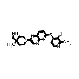 CC1(CN)CCN(c2cnc3nc(Sc4ccnc(N)c4Cl)ccc3n2)CC1